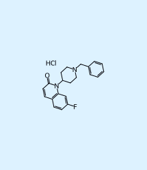 Cl.O=c1ccc2ccc(F)cc2n1C1CCN(Cc2ccccc2)CC1